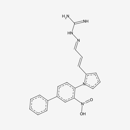 N=C(N)N/N=C/C=C/c1cccn1-c1ccc(-c2ccccc2)cc1[N+](=O)O